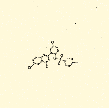 Cc1ccc(S(=O)(=O)Nc2ccc(Cl)cc2-c2nc3ccc(Cl)cc3c(=O)o2)cc1